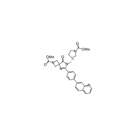 COC(=O)N1CC[C@@H](CN2C(=O)C3(CN(C(=O)OC)C3)N=C2c2ccc(-c3ccc4cccnc4c3)cc2)C1